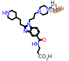 Br.Br.Br.CN1CCN(CCCn2c(CCC3CCNCC3)nc3cc(C(=O)NCCC(=O)O)ccc32)CC1